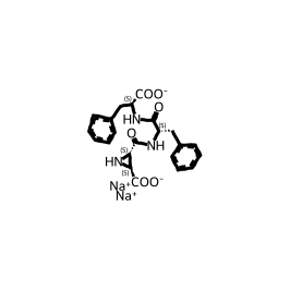 O=C([O-])[C@H](Cc1ccccc1)NC(=O)[C@H](Cc1ccccc1)NC(=O)[C@H]1N[C@@H]1C(=O)[O-].[Na+].[Na+]